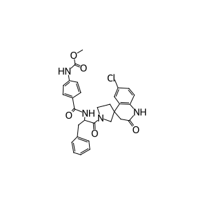 COC(=O)Nc1ccc(C(=O)NC(Cc2ccccc2)C(=O)N2CCC3(CC(=O)Nc4ccc(Cl)cc43)C2)cc1